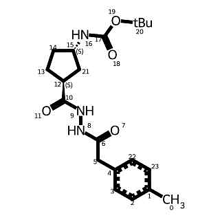 Cc1ccc(CC(=O)NNC(=O)[C@H]2CC[C@H](NC(=O)OC(C)(C)C)C2)cc1